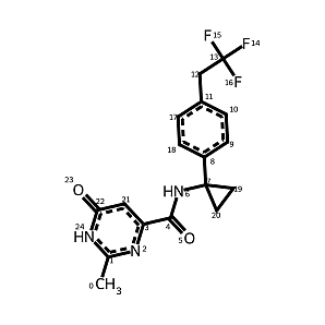 Cc1nc(C(=O)NC2(c3ccc(CC(F)(F)F)cc3)CC2)cc(=O)[nH]1